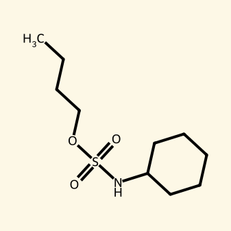 CCCCOS(=O)(=O)NC1CCCCC1